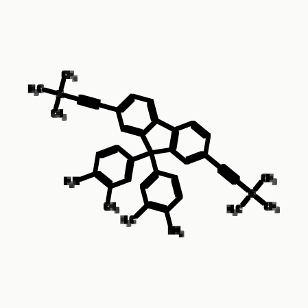 Cc1cc(C2(c3ccc(N)c(C)c3)c3cc(C#C[Si](C)(C)C)ccc3-c3ccc(C#C[Si](C)(C)C)cc32)ccc1N